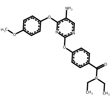 CCN(CC)C(=O)c1ccc(Oc2ncc(N)c(Oc3ccc(OC)cc3)n2)cc1